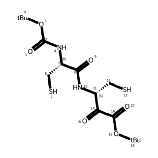 CC(C)(C)OC(=O)N[C@@H](CS)C(=O)N[C@H](CS)C(=O)C(=O)OC(C)(C)C